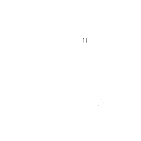 NCc1cnc2c(c1)CCCCC2